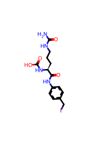 NC(=O)NCCC[C@H](NC(=O)O)C(=O)Nc1ccc(CI)cc1